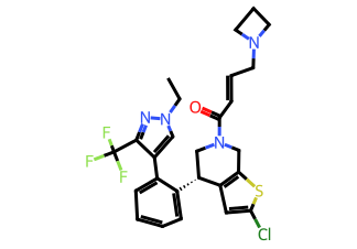 CCn1cc(-c2ccccc2[C@@H]2CN(C(=O)/C=C/CN3CCC3)Cc3sc(Cl)cc32)c(C(F)(F)F)n1